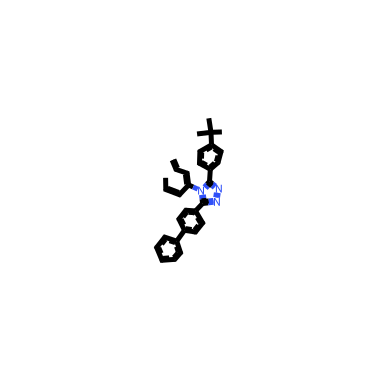 C=C/C=C(\C=C/C)n1c(-c2ccc(-c3ccccc3)cc2)nnc1-c1ccc(C(C)(C)C)cc1